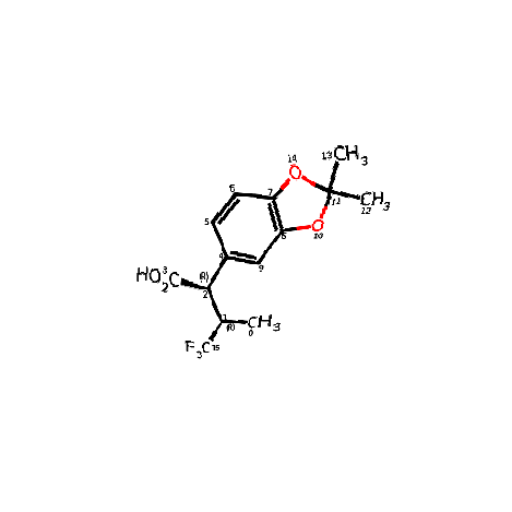 C[C@H]([C@@H](C(=O)O)c1ccc2c(c1)OC(C)(C)O2)C(F)(F)F